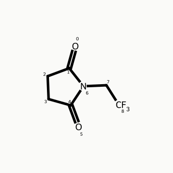 O=C1CCC(=O)N1CC(F)(F)F